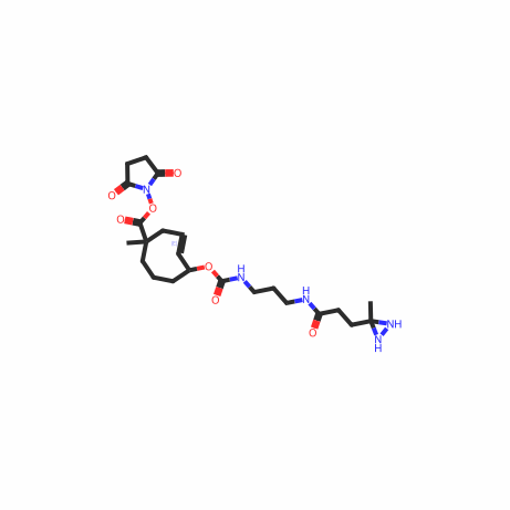 CC1(CCC(=O)NCCCNC(=O)OC2/C=C/CC(C)(C(=O)ON3C(=O)CCC3=O)CCC2)NN1